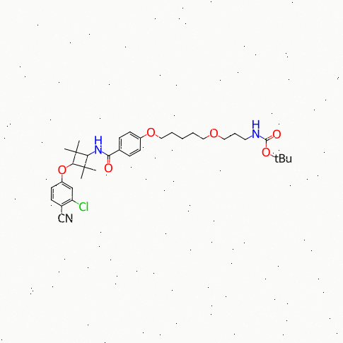 CC(C)(C)OC(=O)NCCCOCCCCCOc1ccc(C(=O)NC2C(C)(C)C(Oc3ccc(C#N)c(Cl)c3)C2(C)C)cc1